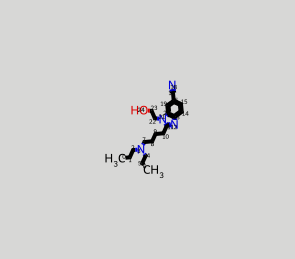 CCCN(CCC)CCCCc1nc2ccc(C#N)cc2n1CCO